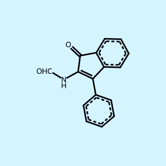 O=CNC1=C(c2ccccc2)c2ccccc2C1=O